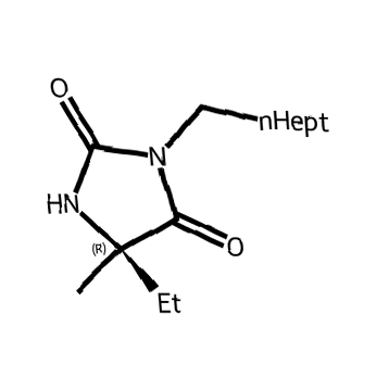 CCCCCCCCN1C(=O)N[C@](C)(CC)C1=O